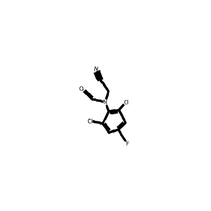 N#CCN(C=O)c1c(Cl)cc(F)cc1Cl